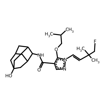 CC(C)COc1c(C(=O)NC2C3CC4CC2CC(O)(C4)C3)cnn1/C=C/C(C)(C)CF